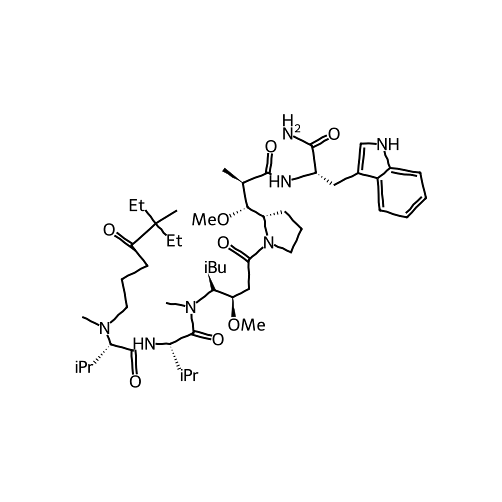 CC[C@H](C)C([C@@H](CC(=O)N1CCC[C@H]1[C@H](OC)[C@@H](C)C(=O)N[C@@H](Cc1c[nH]c2ccccc12)C(N)=O)OC)N(C)C(=O)[C@@H](NC(=O)[C@H](C(C)C)N(C)CCCC(=O)C(C)(CC)CC)C(C)C